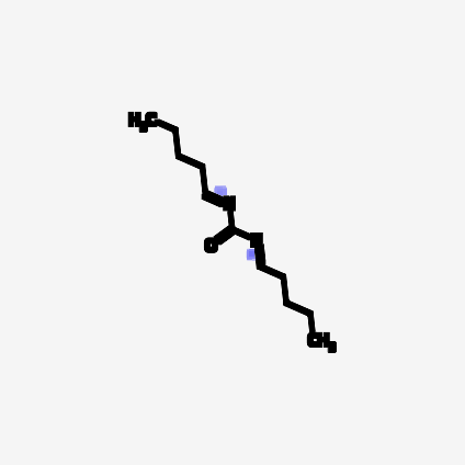 CCCC/C=N/C(=O)/N=C/CCCC